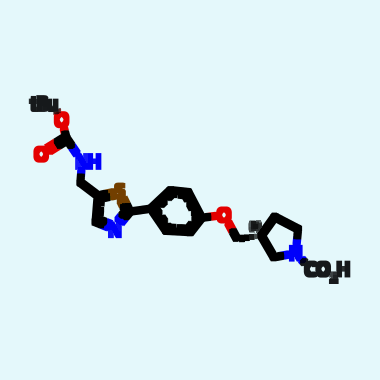 CC(C)(C)OC(=O)NCc1cnc(-c2ccc(OC[C@@H]3CCN(C(=O)O)C3)cc2)s1